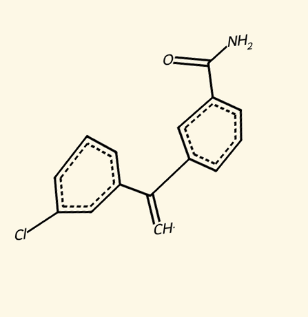 [CH]=C(c1cccc(Cl)c1)c1cccc(C(N)=O)c1